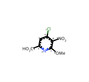 COc1nc(C(=O)O)cc(Cl)c1[N+](=O)[O-]